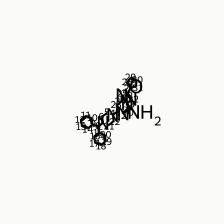 Nc1nc(N2CCN(C(c3ccccc3)c3ccccc3)CC2)cc2nc(-c3ccco3)nn12